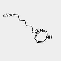 C1=CC=CNC=C1.CCCCCCCCCCCCCCC(=O)O